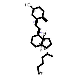 C=C1CC[C@H](O)C/C1=C/C=C1\CCC[C@]2(C)[C@@H](C(C)CCCC(C)C)CC[C@@H]12